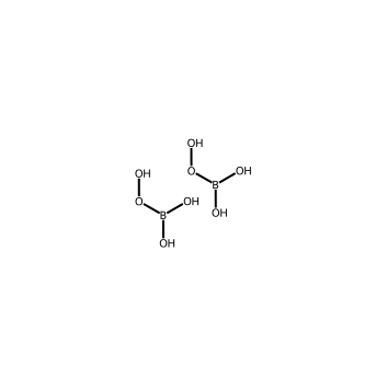 OOB(O)O.OOB(O)O